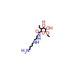 CCOC1OC(C(=O)NCCCNCCCCN)C(CC)C(O)C1O